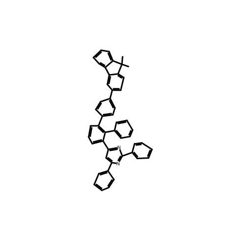 CC1(C)c2ccccc2-c2cc(-c3ccc(-c4cccc(-c5cc(-c6ccccc6)nc(-c6ccccc6)n5)c4-c4ccccc4)cc3)ccc21